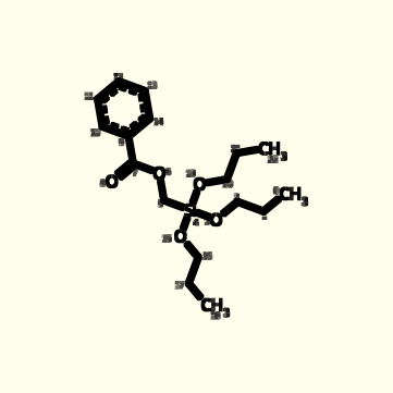 CCCO[Si](COC(=O)c1ccccc1)(OCCC)OCCC